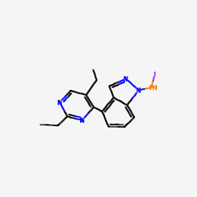 CCc1ncc(CC)c(-c2cccc3c2cnn3PI)n1